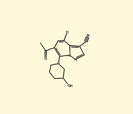 CC(=O)c1cc(Cl)c2c(C#N)cnn2c1N1CCCC(O)C1